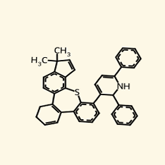 CC1(C)C=Cc2c1ccc1c2Sc2c(C3=CC=C(c4ccccc4)NC3c3ccccc3)cccc2C2=C1CCC=C2